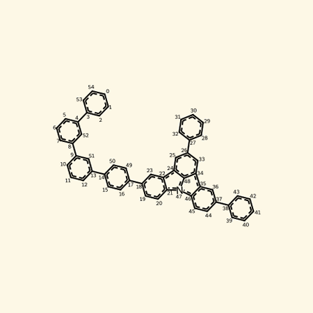 c1ccc(-c2cccc(-c3cccc(-c4ccc(-c5ccc6c(c5)c5cc(-c7ccccc7)cc7c8cc(-c9ccccc9)ccc8n6c75)cc4)c3)c2)cc1